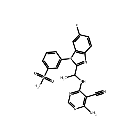 CC(Nc1ncnc(N)c1C#N)c1nc2ccc(F)cc2n1-c1cccc(S(C)(=O)=O)c1